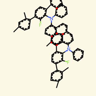 Cc1ccc(-c2ccc(-c3ccc(C)cc3C)c(N(c3ccccc3)c3ccc4ccc5c(N(c6ccccc6)c6c(-c7ccc(C)cc7C)ccc(-c7ccc(C)cc7C)c6F)ccc6ccc3c4c65)c2F)c(C)c1